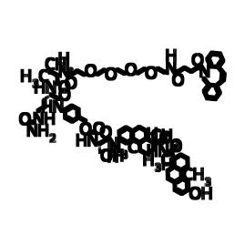 CC(C)[C@H](NC(=O)CCOCCOCCOCCOCCNC(=O)CCC(=O)N1Cc2ccccc2C#Cc2ccccc21)C(=O)N[C@@H](CCCNC(N)=O)C(=O)Nc1ccc(COC(=O)N[C@@H](CO)C(=O)Nc2ccc3c(c2)[C@@]2(C)CCC[C@](C)(C(=O)NC(=O)[C@@]4(C)CCC[C@]5(C)c6cc(O)ccc6CC[C@@H]45)[C@@H]2CC3)cc1